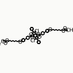 C=CC(=O)OCCCCCCCCOc1ccc(C2CCC(C(=O)Oc3c4sc(-c5ccccc5)c(Cl)c4c(OC(=O)C4CCC(c5ccc(OCCCCCCCCOC(=O)C=C)cc5)CC4)c4sc(-c5ccccc5)c(Cl)c34)CC2)cc1